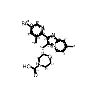 Cc1ccn2c(C[C@H]3CN(C(=O)O)CCO3)c(-c3ncc(Br)cc3C)nc2c1